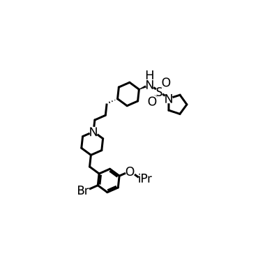 CC(C)Oc1ccc(Br)c(CC2CCN(CCC[C@H]3CC[C@H](NS(=O)(=O)N4CCCC4)CC3)CC2)c1